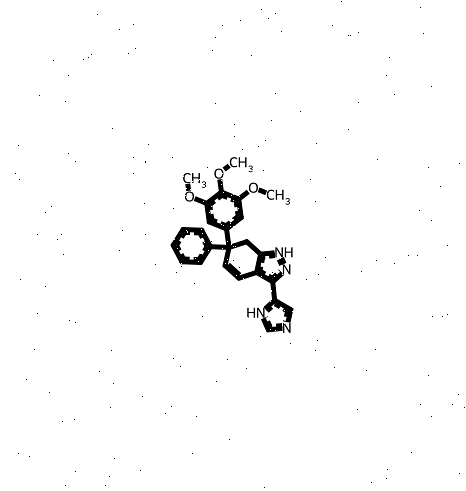 COc1cc(C2(c3ccccc3)C=Cc3c(-c4cnc[nH]4)n[nH]c3C2)cc(OC)c1OC